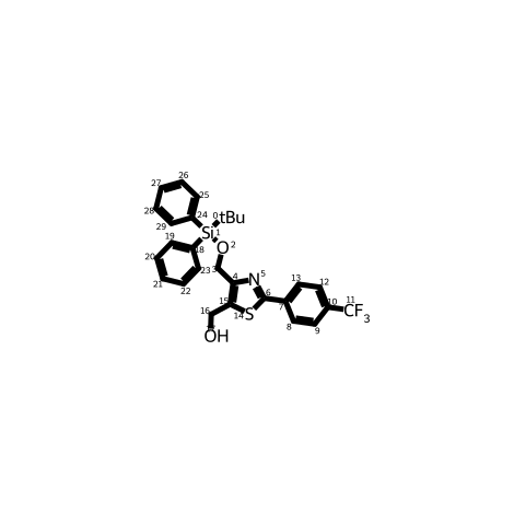 CC(C)(C)[Si](OCc1nc(-c2ccc(C(F)(F)F)cc2)sc1CO)(c1ccccc1)c1ccccc1